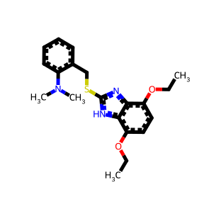 CCOc1ccc(OCC)c2[nH]c(SCc3ccccc3N(C)C)nc12